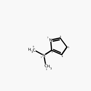 CN(C)C1=CCC=N1